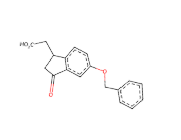 O=C(O)CC1CC(=O)c2cc(OCc3ccccc3)ccc21